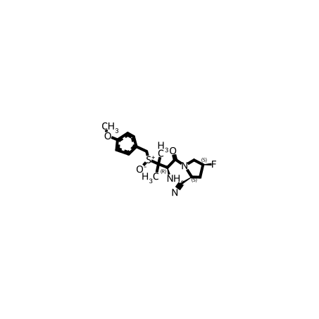 COc1ccc(C[S+]([O-])C(C)(C)[C@H](N)C(=O)N2C[C@@H](F)C[C@H]2C#N)cc1